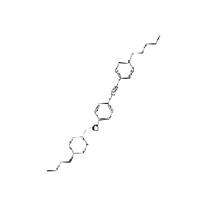 CCCCCc1ccc(C#Cc2ccc(OC[C@H]3CC[C@H](CCCC)CC3)cc2)cc1